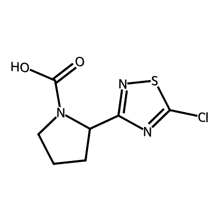 O=C(O)N1CCCC1c1nsc(Cl)n1